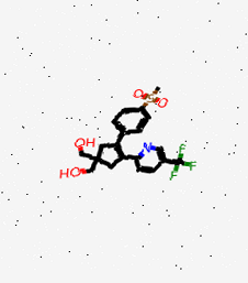 CS(=O)(=O)c1ccc(C2=C(c3ccc(C(F)(F)F)cn3)CC(CO)(CO)C2)cc1